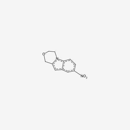 O=[N+]([O-])c1ccc2c(c1)cc1n2CCOC1